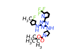 CC1(F)CCC(Nc2nc(NC3CCN(C(=O)OC(C)(C)C)C3)nc(-c3cccc(C(F)(F)F)n3)n2)C1